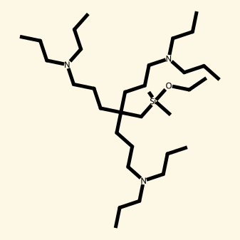 CCCN(CCC)CCCC(CCCN(CCC)CCC)(CCCN(CCC)CCC)C[Si](C)(C)OCC